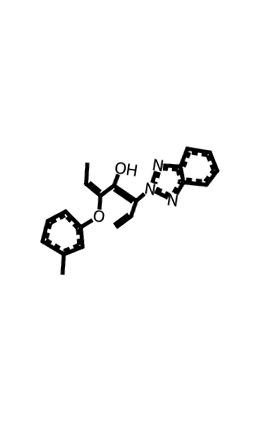 C=C/C(=C(O)\C(=C/C)Oc1cccc(C)c1)n1nc2ccccc2n1